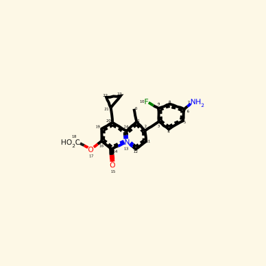 Cc1c(-c2ccc(N)cc2F)ccn2c(=O)c(OC(=O)O)cc(C3CC3)c12